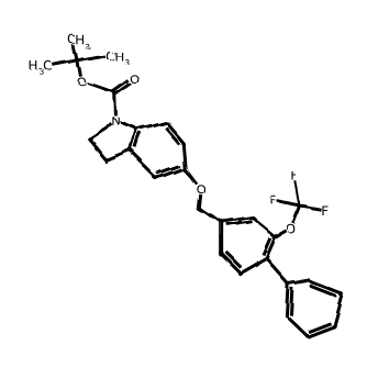 CC(C)(C)OC(=O)N1CCc2cc(OCc3ccc(-c4ccccc4)c(OC(F)(F)F)c3)ccc21